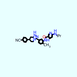 Cc1ccc(C2=NNC3CC(c4ccc(C#N)cc4)CCN23)cc1NC(=O)c1ccc(NC(C)C)nc1